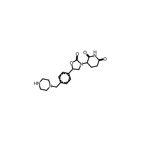 O=C1CCC(N2CC(c3ccc(CN4CCNCC4)cc3)OC2=O)C(=O)N1